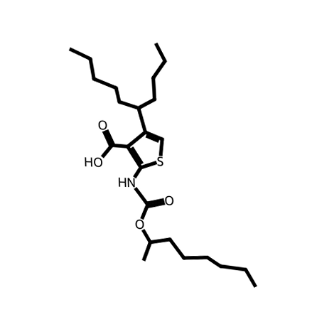 CCCCCCC(C)OC(=O)Nc1scc(C(CCCC)CCCCC)c1C(=O)O